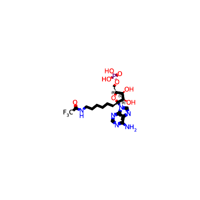 Nc1ncnc2c1ncn2[C@]1(CCCCCCNC(=O)C(F)(F)F)O[C@H](COP(=O)(O)O)[C@@H](O)[C@H]1O